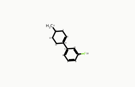 CC1CC=C(c2cccc(F)c2)CC1